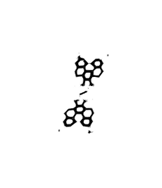 COc1ccc2c(c1)CCc1c3c(c4c(c1-2)-c1ccc(OC)cc1CC4)C(=O)N(CCN1C(=O)c2c4c(c5c(c2C1=O)CCc1cc(OC)ccc1-5)-c1ccc(OC)cc1CC4)C3=O